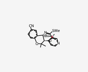 CSC(=N[C@H]1c2cc(C#N)ccc2OC(C)(C)[C@@H]1O[Si](C)(C)C(C)(C)C)c1cccnc1